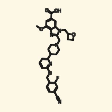 COc1cc(C(=O)O)cc2c1nc(CN1CCC(c3cccc(OCc4ccc(C#N)cc4F)n3)CC1)n2CC1CCO1